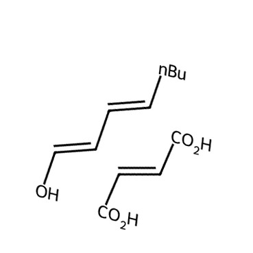 CCCC/C=C/C=C/O.O=C(O)/C=C/C(=O)O